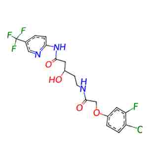 O=C(COc1ccc(Cl)c(F)c1)NCCC(O)CC(=O)Nc1ccc(C(F)(F)F)cn1